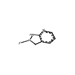 FN1[CH]c2cccnc2N1